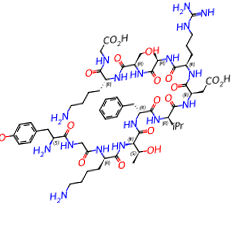 CC(C)[C@@H](NC(=O)[C@@H](Cc1ccccc1)NC(=O)[C@H](NC(=O)[C@@H](CCCCN)NC(=O)CNC(=O)[C@@H](N)Cc1ccc(O)cc1)[C@H](C)O)C(=O)N[C@H](CC(=O)O)C(=O)N[C@H](CCCNC(=N)N)C(=O)N[C@H](C)C(=O)N[C@H](CO)C(=O)N[C@H](CCCCN)C(=O)NCC(=O)O